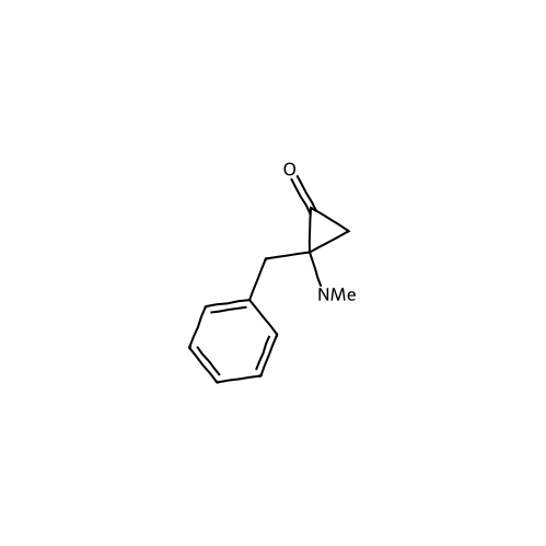 CNC1(Cc2ccccc2)CC1=O